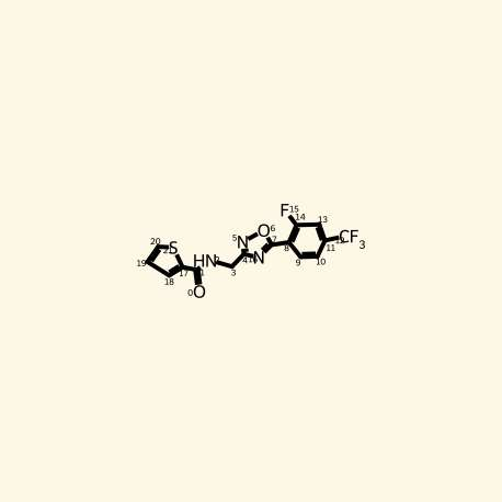 O=C(NCc1noc(-c2ccc(C(F)(F)F)cc2F)n1)c1cccs1